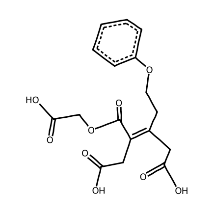 O=C(O)COC(=O)C(CC(=O)O)=C(CCOc1ccccc1)CC(=O)O